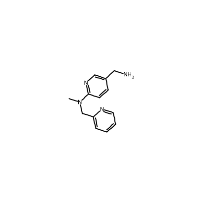 CN(Cc1ccccn1)c1ccc(CN)cn1